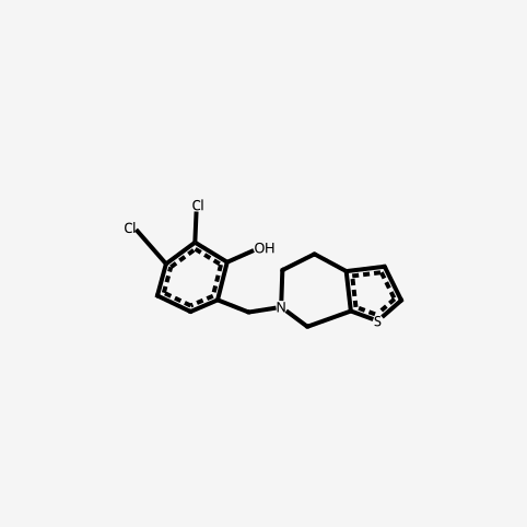 Oc1c(CN2CCc3ccsc3C2)ccc(Cl)c1Cl